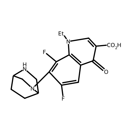 CCn1cc(C(=O)O)c(=O)c2cc(F)c(N3CC4CCC3CN4)c(F)c21